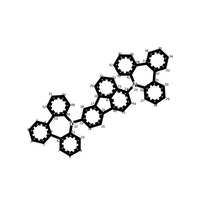 c1ccc2c(c1)-c1ccccc1N(c1ccc3c(c1)-c1cccc4c(N5c6ccccc6-c6ccccc6-c6ccccc65)ccc-3c14)c1ccccc1-2